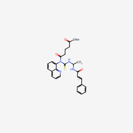 COC(=O)CCCC(=O)N(C(=S)NC(NC(=O)/C=C/c1ccccc1)C(Cl)(Cl)Cl)c1cccc2cccnc12